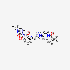 C=C1CCC(N2C(=O)c3cccc(NCc4cnn(C5CCN(C(=O)C6C7(CC7)C67CC7)CC5)c4)c3C2=O)C(=O)N1